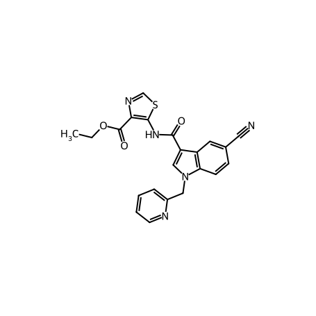 CCOC(=O)c1ncsc1NC(=O)c1cn(Cc2ccccn2)c2ccc(C#N)cc12